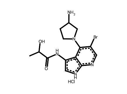 CC(O)C(=O)Nc1c[nH]c2ncc(Br)c(N3CCC(N)C3)c12.Cl